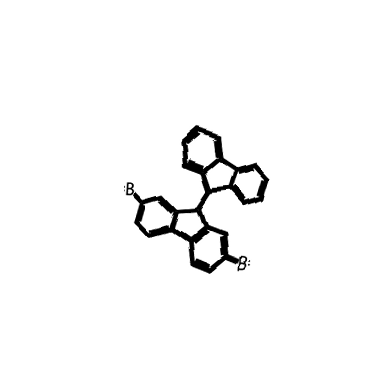 [B]c1ccc2c(c1)C(C1c3ccccc3-c3ccccc31)c1cc([B])ccc1-2